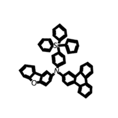 c1ccc([Si](c2ccccc2)(c2ccccc2)c2ccc(N(c3ccc4oc5ccccc5c4c3)c3ccc4c5ccccc5c5ccccc5c4c3)cc2)cc1